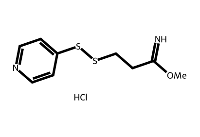 COC(=N)CCSSc1ccncc1.Cl